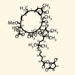 COC1/C=C/C=C(\C)Cc2cc(C)c(Cl)c(c2)N(C)C(=O)CC(OC(=O)[C@H](C)N(C)C(=O)CCC(C)(C)SSCCCC(=O)ON2C(=O)CCC2=O)[C@@]2(C)O[C@@H]2C(C)C2CC1(O)NC(=O)O2